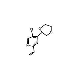 C=Cc1ncc(Cl)c(C2COCCO2)n1